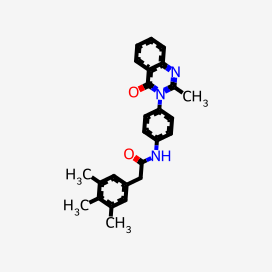 Cc1cc(CC(=O)Nc2ccc(-n3c(C)nc4ccccc4c3=O)cc2)cc(C)c1C